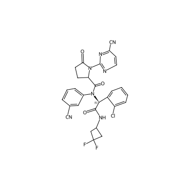 N#Cc1cccc(N(C(=O)C2CCC(=O)N2c2nccc(C#N)n2)[C@H](C(=O)NC2CC(F)(F)C2)c2ccccc2Cl)c1